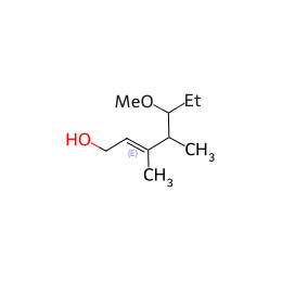 CCC(OC)C(C)/C(C)=C/CO